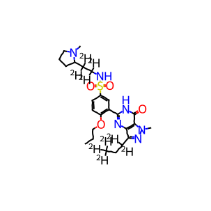 [2H]C([2H])([2H])CC([2H])([2H])c1nn(C)c2c(=O)[nH]c(-c3cc(S(=O)(=O)NC([2H])([2H])C([2H])([2H])C4CCCN4C)ccc3OCCC)nc12